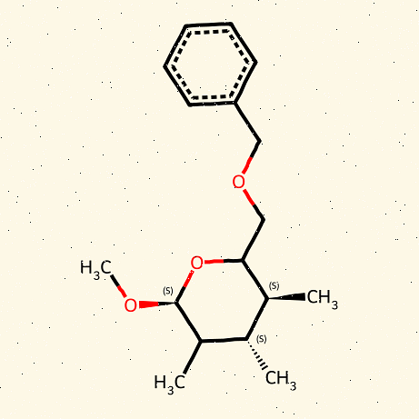 CO[C@H]1OC(COCc2ccccc2)[C@@H](C)[C@H](C)C1C